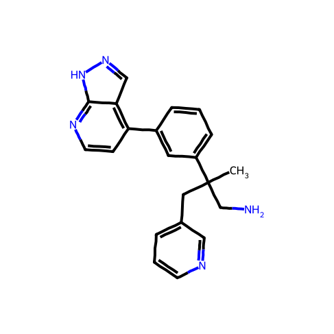 CC(CN)(Cc1cccnc1)c1cccc(-c2ccnc3[nH]ncc23)c1